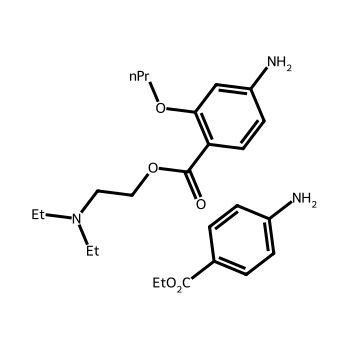 CCCOc1cc(N)ccc1C(=O)OCCN(CC)CC.CCOC(=O)c1ccc(N)cc1